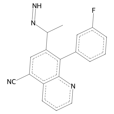 CC(N=N)c1cc(C#N)c2cccnc2c1-c1cccc(F)c1